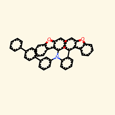 c1ccc(-c2ccc(-c3cccc(N(c4ccccc4-c4cccc5oc6ccccc6c45)c4cccc5oc6ccccc6c45)c3)cc2)cc1